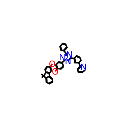 CC1(C)c2ccccc2-c2c1ccc1c2Oc2ccc(-c3nc(C4=CC(c5ccccn5)CC=C4)nc(-c4ccccc4)n3)cc2O1